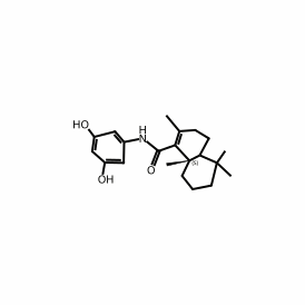 CC1=C(C(=O)Nc2cc(O)cc(O)c2)[C@@]2(C)CCCC(C)(C)C2CC1